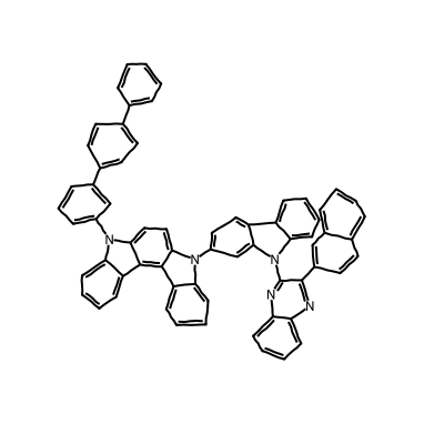 c1ccc(-c2ccc(-c3cccc(-n4c5ccccc5c5c6c7ccccc7n(-c7ccc8c9ccccc9n(-c9nc%10ccccc%10nc9-c9ccc%10ccccc%10c9)c8c7)c6ccc54)c3)cc2)cc1